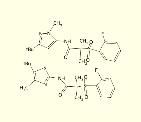 Cc1nc(NC(=O)C(C)(C)S(=O)(=O)c2ccccc2F)sc1C(C)(C)C.Cn1nc(C(C)(C)C)cc1NC(=O)C(C)(C)S(=O)(=O)c1ccccc1F